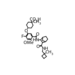 COc1cc(F)c(OC2CCC(C)(C(=O)O)CC2)cc1C(=O)NC1C2CCC(C2)C1C(=O)NCC1(C)CCC1